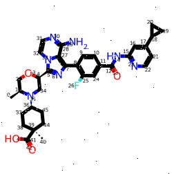 C[C@H]1CO[C@@H](c2nc(-c3ccc(C(=O)Nc4cc(C5CC5)ccn4)cc3F)c3c(N)nccn23)CN1[C@H]1CC[C@](C)(C(=O)O)CC1